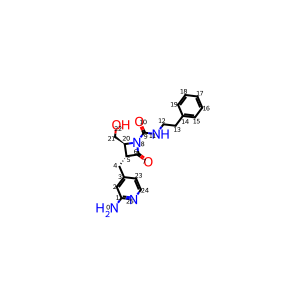 Nc1cc(C[C@H]2C(=O)N(C(=O)NCCc3ccccc3)[C@@H]2CO)ccn1